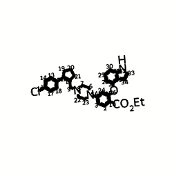 CCOC(=O)c1ccc(N2CCN(CC3=C(c4ccc(Cl)cc4)CCC3)CC2)cc1Oc1cccc2[nH]ccc12